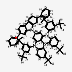 CC(C)(C)c1cc(N2c3ccc(C(C)(C)C)cc3B3c4cc(C(C)(C)C)ccc4N(c4cc(C(C)(C)C)cc(C(C)(C)C)c4)c4cc(-n5c6cc(-c7ccccc7)ccc6c6ccc(-c7ccccc7)cc65)cc2c43)cc(C(C)(C)C)c1